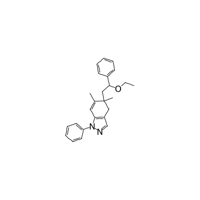 CCOC(CC1(C)Cc2cnn(-c3ccccc3)c2C=C1C)c1ccccc1